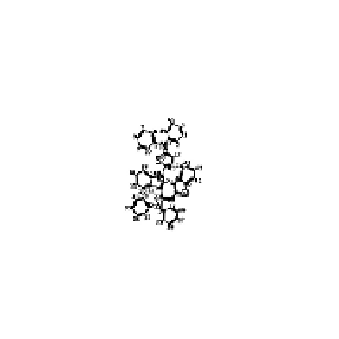 c1ccc(N(c2ccccc2)c2ccc(-n3c4ccccc4c4c5c(c6ccccc6n5-c5ccccc5)c5oc6ccccc6c5c43)s2)cc1